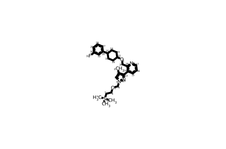 Cc1cn(COCC[Si](C)(C)C)nc1-c1cccnc1COC1CCC(c2cccc(F)c2)CC1